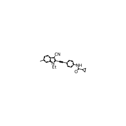 CCn1c(C#Cc2ccc(NC(=O)C3CC3)cc2)c(C#N)c2ccc(C)cc21